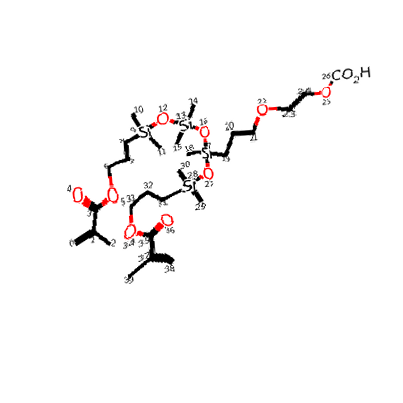 C=C(C)C(=O)OCCC[Si](C)(C)O[Si](C)(C)O[Si](C)(CCCOCCOC(=O)O)O[Si](C)(C)CCCOC(=O)C(=C)C